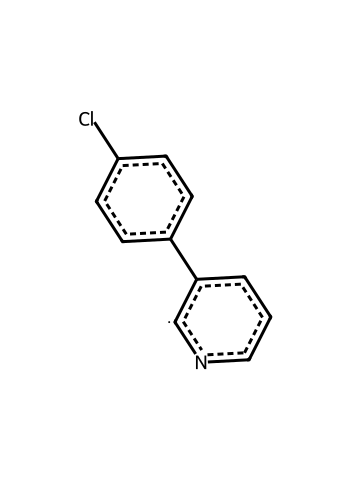 Clc1ccc(-c2[c]nccc2)cc1